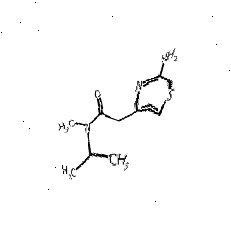 CC(C)N(C)C(=O)Cc1csc(N)n1